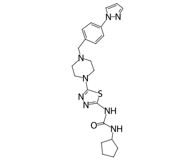 O=C(Nc1nnc(N2CCN(Cc3ccc(-n4cccn4)cc3)CC2)s1)NC1CCCC1